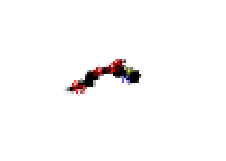 CCOC(=O)C[C@@H]1CCc2cc(OCCCOc3ccc(-c4nc5ccccc5s4)cc3OC)ccc21